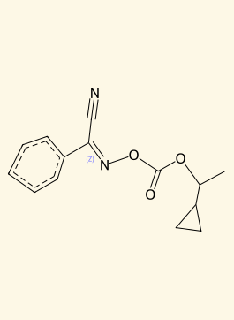 CC(OC(=O)O/N=C(\C#N)c1ccccc1)C1CC1